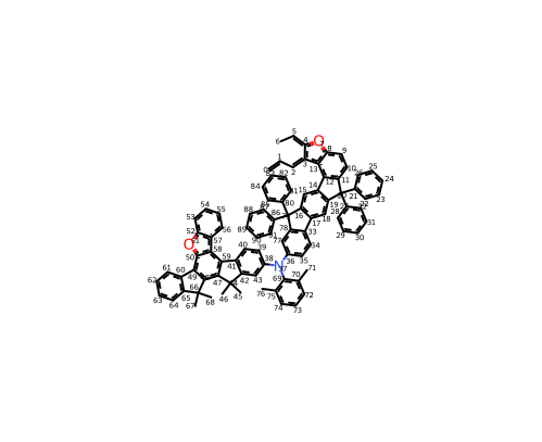 C=C/C=c1\c(=C/C)oc2ccc3c(c12)-c1cc2c(cc1C3(c1ccccc1)c1ccccc1)-c1ccc(N(c3ccc4c(c3)C(C)(C)c3c5c(c6oc7ccccc7c6c3-4)-c3ccccc3C5(C)C)c3c(C)cccc3C)cc1C2(c1ccccc1)c1ccccc1